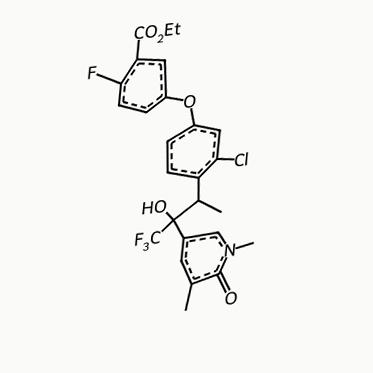 CCOC(=O)c1cc(Oc2ccc(C(C)C(O)(c3cc(C)c(=O)n(C)c3)C(F)(F)F)c(Cl)c2)ccc1F